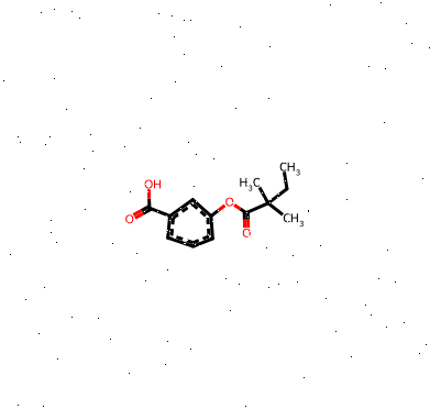 CCC(C)(C)C(=O)Oc1cccc(C(=O)O)c1